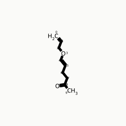 C=CCOC=CCCC(C)=O